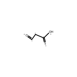 O=CCC(O)=S